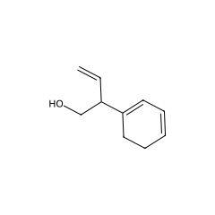 C=CC(CO)C1=CC=CCC1